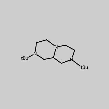 CC(C)(C)N1CCN2CCN(C(C)(C)C)CC2C1